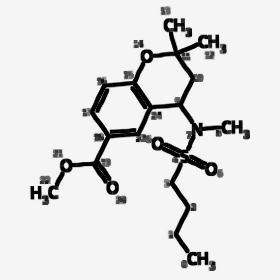 CCCCS(=O)(=O)N(C)C1CC(C)(C)Oc2ccc(C(=O)OC)cc21